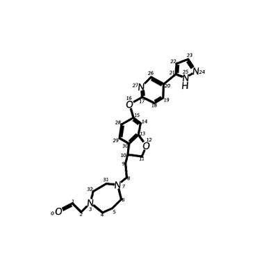 O=CCN1CCCN(CCC2COc3cc(Oc4ccc(-c5ccn[nH]5)cn4)ccc32)CC1